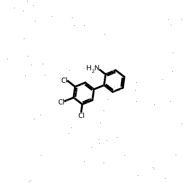 Nc1ccccc1-c1cc(Cl)c(Cl)c(Cl)c1